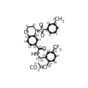 Cc1cccc(S(=O)(=O)N2CCOc3ccc(C(=O)N[C@@H](CC(=O)O)c4cc(C(F)(F)F)ccc4Cl)cc32)c1